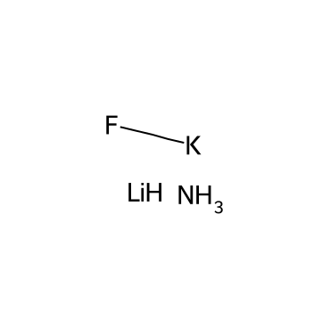 N.[F][K].[LiH]